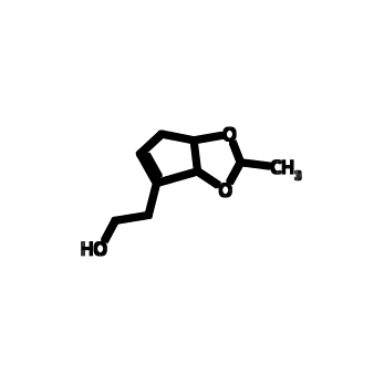 CC1OC2CC=C(CCO)C2O1